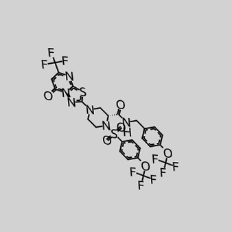 O=C(NCc1ccc(OC(F)(F)F)cc1)[C@H]1CN(c2nn3c(=O)cc(C(F)(F)F)nc3s2)CCN1S(=O)(=O)c1ccc(OC(F)(F)F)cc1